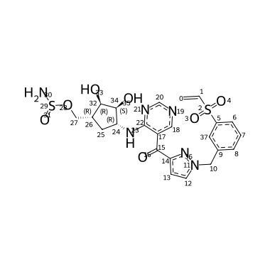 C=CS(=O)(=O)c1cccc(Cn2ccc(C(=O)c3cncnc3N[C@@H]3C[C@H](COS(N)=O)[C@@H](O)[C@H]3O)n2)c1